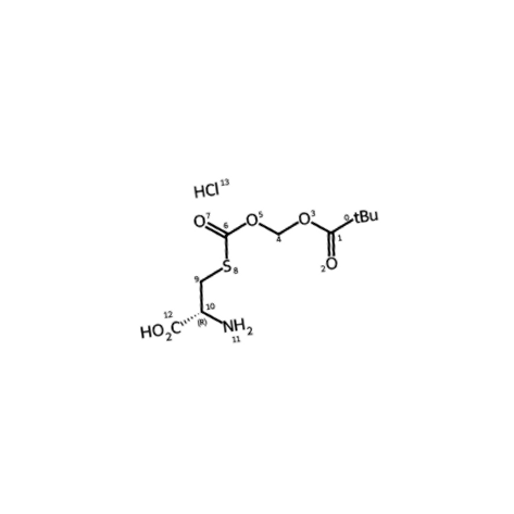 CC(C)(C)C(=O)OCOC(=O)SC[C@H](N)C(=O)O.Cl